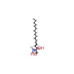 CCCCCCCCCCCCCC=CC(O)C(CO)N(C)C